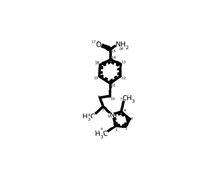 Cc1ccc(C)n1C(C)CCc1ccc(C(N)=O)cc1